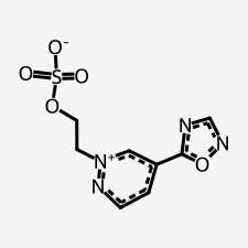 O=S(=O)([O-])OCC[n+]1cc(-c2ncno2)ccn1